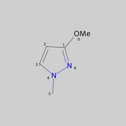 COc1c[c]n(C)n1